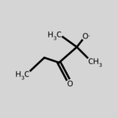 CCC(=O)C(C)(C)[O]